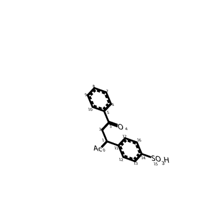 CC(=O)C(CC(=O)c1ccccc1)c1ccc(S(=O)(=O)O)cc1